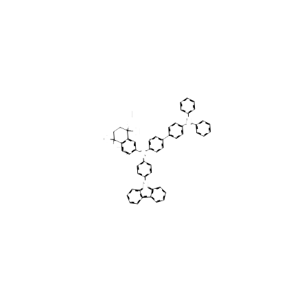 CC1(C)CCC(C)(C)c2cc(N(c3ccc(-c4ccc(N(c5ccccc5)c5ccccc5)cc4)cc3)c3ccc(-n4c5ccccc5c5ccccc54)cc3)ccc21